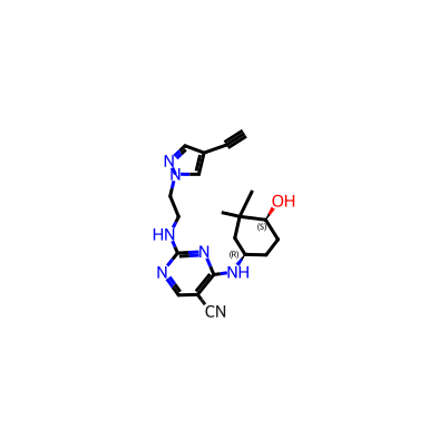 C#Cc1cnn(CCNc2ncc(C#N)c(N[C@@H]3CC[C@H](O)C(C)(C)C3)n2)c1